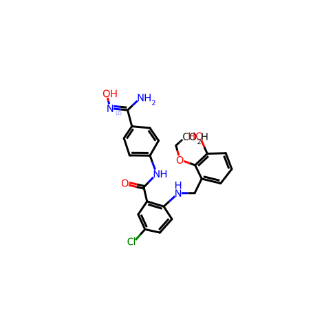 N/C(=N\O)c1ccc(NC(=O)c2cc(Cl)ccc2NCc2cccc(O)c2OCC(=O)O)cc1